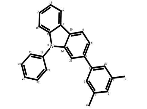 Cc1cc(C)cc(-c2ccc3c4ccccc4n(-c4ccccc4)c3c2)c1